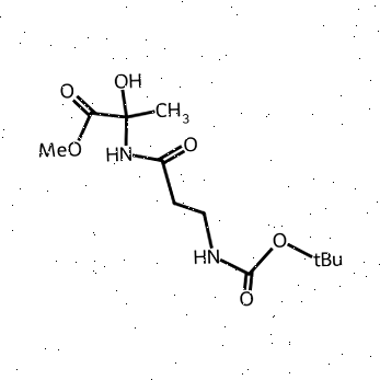 COC(=O)C(C)(O)NC(=O)CCNC(=O)OC(C)(C)C